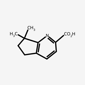 CC1(C)CCc2ccc(C(=O)O)nc21